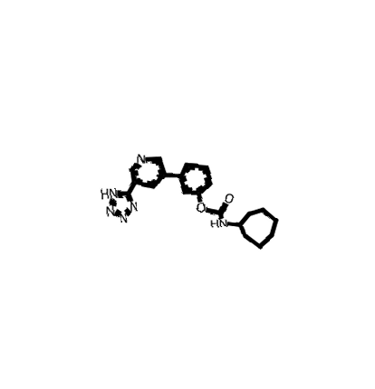 O=C(NC1CCCCCC1)Oc1cccc(-c2cncc(-c3nnn[nH]3)c2)c1